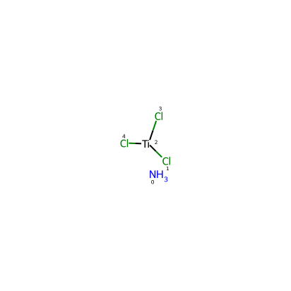 N.[Cl][Ti]([Cl])[Cl]